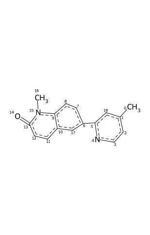 Cc1ccnc(-c2ccc3c(ccc(=O)n3C)c2)c1